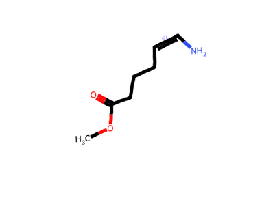 COC(=O)CCC/C=C\N